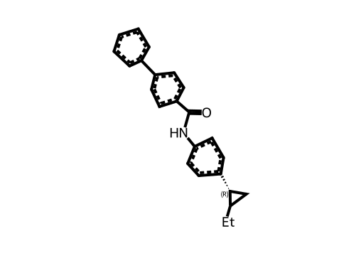 CCC1C[C@H]1c1ccc(NC(=O)c2ccc(-c3ccccc3)cc2)cc1